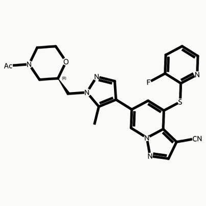 CC(=O)N1CCO[C@@H](Cn2ncc(-c3cc(Sc4ncccc4F)c4c(C#N)cnn4c3)c2C)C1